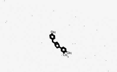 Cc1cc(C2CC3CC2CC3Cc2ccc(O)cc2)ccc1O